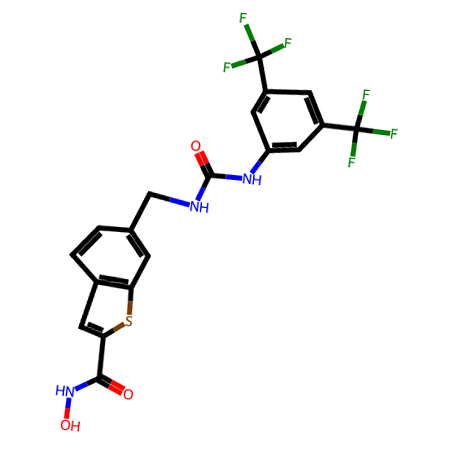 O=C(NCc1ccc2cc(C(=O)NO)sc2c1)Nc1cc(C(F)(F)F)cc(C(F)(F)F)c1